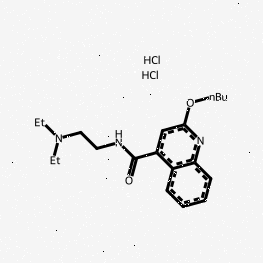 CCCCOc1cc(C(=O)NCCN(CC)CC)c2ccccc2n1.Cl.Cl